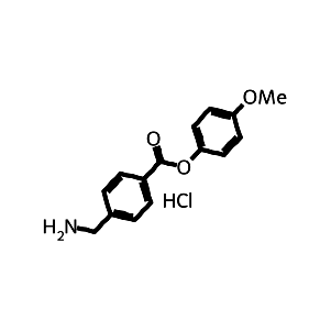 COc1ccc(OC(=O)c2ccc(CN)cc2)cc1.Cl